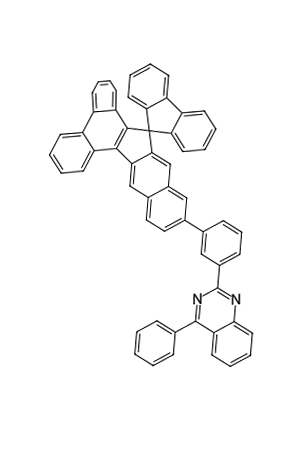 c1ccc(-c2nc(-c3cccc(-c4ccc5cc6c(cc5c4)C4(c5ccccc5-c5ccccc54)c4c-6c5ccccc5c5ccccc45)c3)nc3ccccc23)cc1